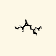 C=C[C@@H](CCC1C(C)C1C(=O)OCC)OC=O